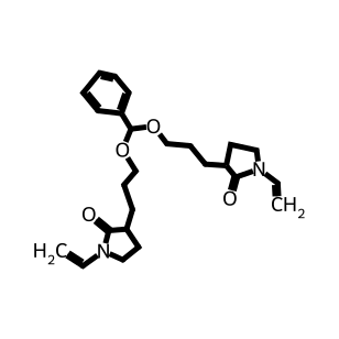 C=CN1CCC(CCCOC(OCCCC2CCN(C=C)C2=O)c2ccccc2)C1=O